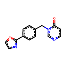 O=c1ccncn1Cc1ccc(-c2ncco2)cc1